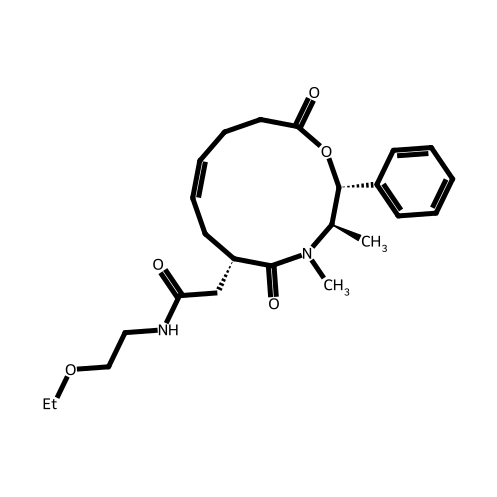 CCOCCNC(=O)C[C@@H]1CC=CCCC(=O)O[C@H](c2ccccc2)[C@@H](C)N(C)C1=O